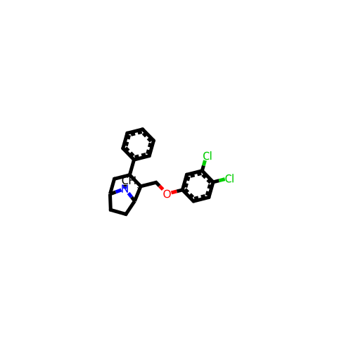 CN1C2CCC1C(COc1ccc(Cl)c(Cl)c1)C(c1ccccc1)C2